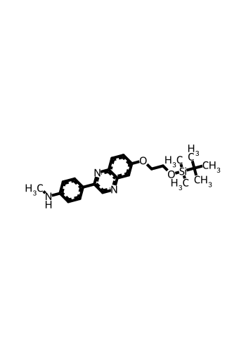 CNc1ccc(-c2cnc3cc(OCCO[Si](C)(C)C(C)(C)C)ccc3n2)cc1